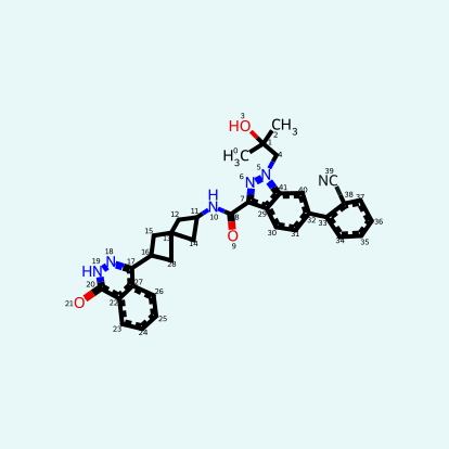 CC(C)(O)Cn1nc(C(=O)NC2CC3(C2)CC(c2n[nH]c(=O)c4ccccc24)C3)c2ccc(-c3ccccc3C#N)cc21